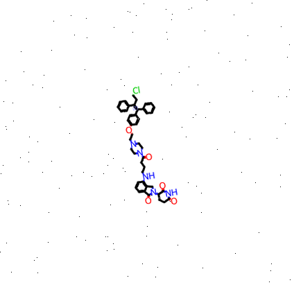 O=C1CCC(N2Cc3c(NCCCC(=O)N4CCN(CCOc5ccc(/C(=C(/CCCl)c6ccccc6)c6ccccc6)cc5)CC4)cccc3C2=O)C(=O)N1